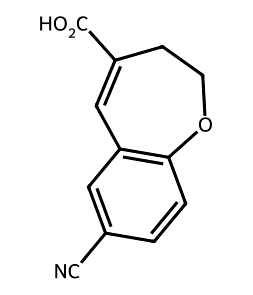 N#Cc1ccc2c(c1)C=C(C(=O)O)CCO2